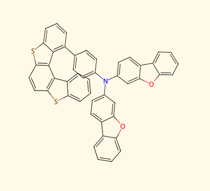 c1ccc2c(c1)oc1cc(N(c3ccc(-c4cccc5sc6ccc7sc8ccccc8c7c6c45)cc3)c3ccc4c(c3)oc3ccccc34)ccc12